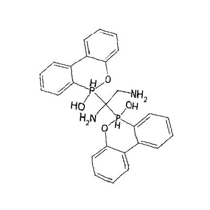 NCC(N)([PH]1(O)Oc2ccccc2-c2ccccc21)[PH]1(O)Oc2ccccc2-c2ccccc21